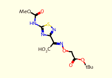 COC(=O)Nc1nc(/C(=N/OCC(=O)OC(C)(C)C)C(=O)O)ns1